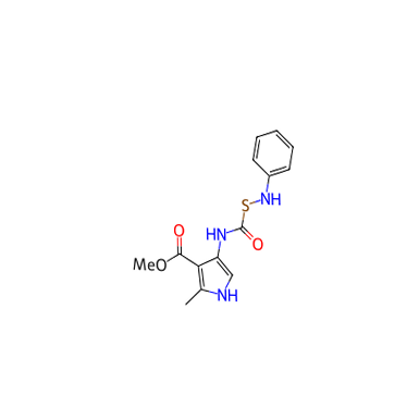 COC(=O)c1c(NC(=O)SNc2ccccc2)c[nH]c1C